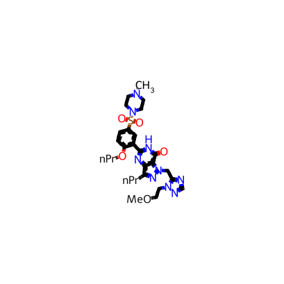 CCCOc1ccc(S(=O)(=O)N2CCN(C)CC2)cc1-c1nc2c(CCC)nn(Cc3ncnn3CCOC)c2c(=O)[nH]1